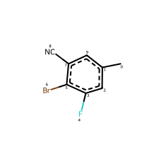 Cc1cc(F)c(Br)c(C#N)c1